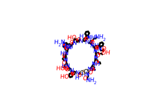 CCCC[C@H]1C(=O)N(C)[C@@H](CCCC)C(=O)N[C@@H](CC(C)C)C(=O)N[C@H](C(=O)NCC(N)=O)CSCC(=O)N[C@@H](Cc2ccc(O)cc2)C(=O)N(C)[C@@H](C)C(=O)N[C@@H](CC(=O)O)C(=O)N2CCC[C@H]2C(=O)N[C@@H](Cc2cnc[nH]2)C(=O)N[C@@H](CCCCN)C(=O)N2C[C@H](O)C[C@H]2C(=O)N[C@@H](Cc2c[nH]c3ccccc23)C(=O)N[C@@H](CCCCN)C(=O)N[C@@H](Cc2cn(CC(=O)O)c3ccccc23)C(=O)N1C